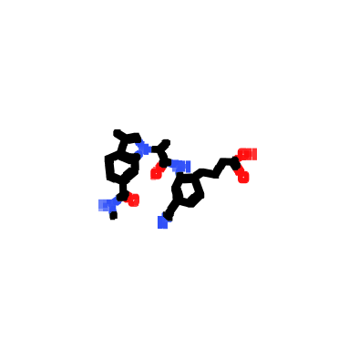 CNC(=O)c1ccc2c(C)cn(C(C)C(=O)Nc3cc(C#N)ccc3CCCC(=O)O)c2c1